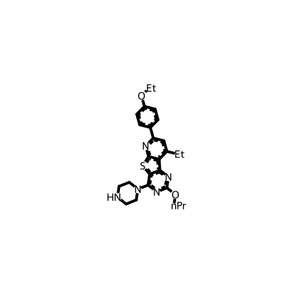 CCCOc1nc(N2CCNCC2)c2sc3nc(-c4ccc(OCC)cc4)cc(CC)c3c2n1